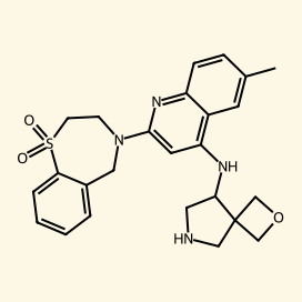 Cc1ccc2nc(N3CCS(=O)(=O)c4ccccc4C3)cc(NC3CNCC34COC4)c2c1